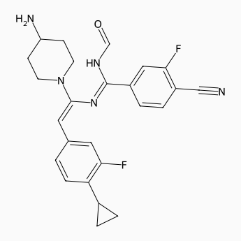 N#Cc1ccc(/C(=N/C(=C\c2ccc(C3CC3)c(F)c2)N2CCC(N)CC2)NC=O)cc1F